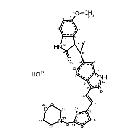 COc1ccc2c(c1)[C@]1(C[C@H]1c1ccc3c(C=Cc4ccc(CN5CCOCC5)s4)n[nH]c3c1)C(=O)N2.Cl